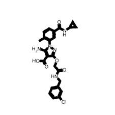 Cc1ccc(C(=O)NC2CC2)cc1-n1nc(OCC(=O)NCc2cccc(Cl)c2)c(C(=O)O)c1N